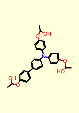 CC(O)Oc1ccc(-c2ccc(N(c3ccc(OC(C)O)cc3)c3ccc(OC(C)O)cc3)cc2)cc1